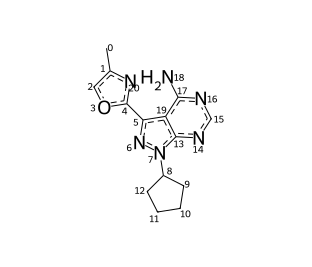 Cc1coc(-c2nn(C3CCCC3)c3ncnc(N)c23)n1